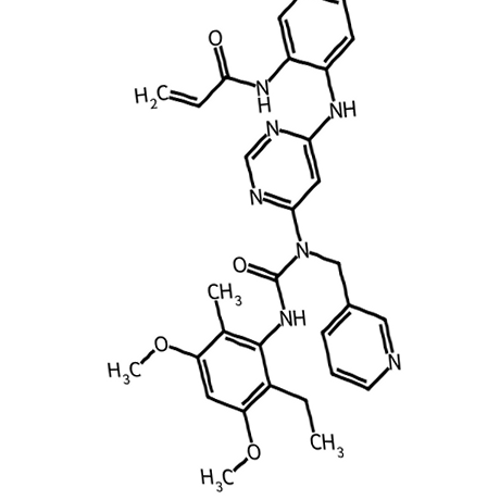 C=CC(=O)Nc1ccccc1Nc1cc(N(Cc2cccnc2)C(=O)Nc2c(C)c(OC)cc(OC)c2CC)ncn1